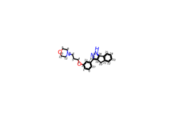 c1cc(OCCCN2CCOCC2)cc(-c2n[nH]c3c2Cc2ccccc2-3)c1